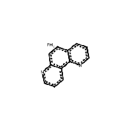 P.c1cnc2c(c1)ccc1ncccc12